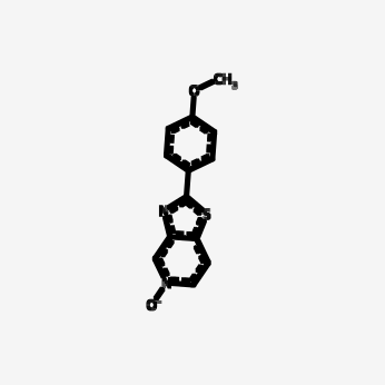 COc1ccc(-c2nc3c[n+]([O-])ccc3s2)cc1